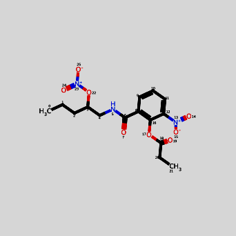 CCCC(CNC(=O)c1cccc([N+](=O)[O-])c1OC(=O)CC)O[N+](=O)[O-]